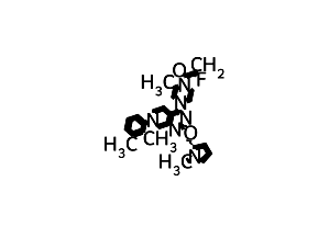 C=C(F)C(=O)N1CCN(c2nc(OC[C@@H]3CCCN3C)nc3c2CCN(c2cccc(C)c2C)C3)C[C@@H]1C